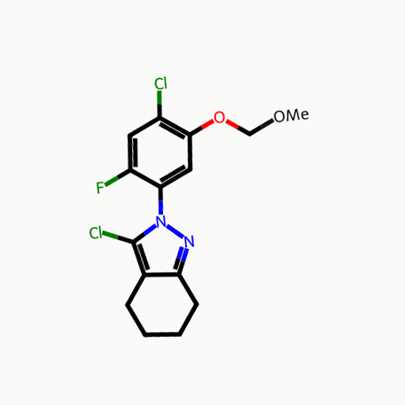 COCOc1cc(-n2nc3c(c2Cl)CCCC3)c(F)cc1Cl